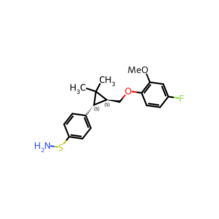 COc1cc(F)ccc1OC[C@H]1[C@H](c2ccc(SN)cc2)C1(C)C